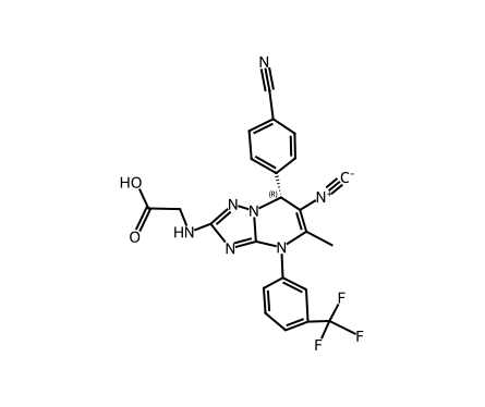 [C-]#[N+]C1=C(C)N(c2cccc(C(F)(F)F)c2)c2nc(NCC(=O)O)nn2[C@@H]1c1ccc(C#N)cc1